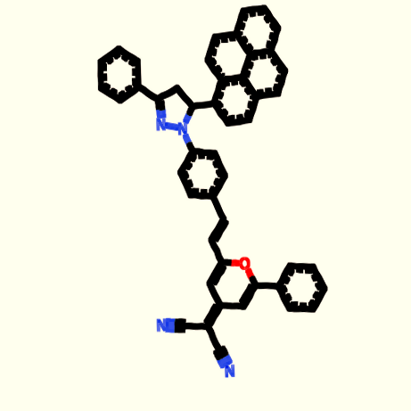 N#CC(C#N)=C1C=C(/C=C/c2ccc(N3N=C(c4ccccc4)CC3c3ccc4ccc5cccc6ccc3c4c56)cc2)OC(c2ccccc2)=C1